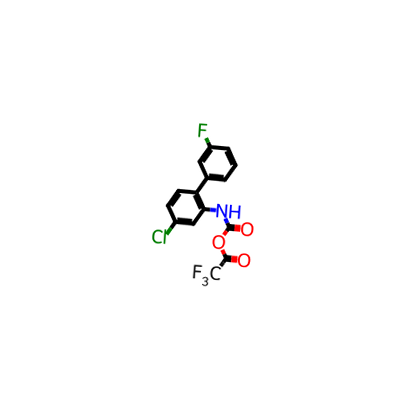 O=C(Nc1cc(Cl)ccc1-c1cccc(F)c1)OC(=O)C(F)(F)F